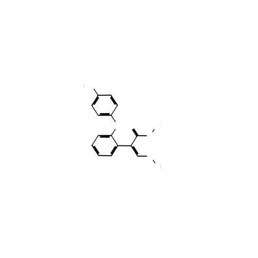 CO/C=C(\C(=O)OC)c1ccccc1Oc1ccc(O)cc1